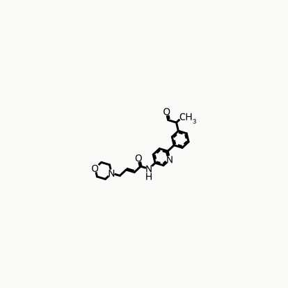 CC(C=O)c1cccc(-c2ccc(NC(=O)/C=C/CN3CCOCC3)cn2)c1